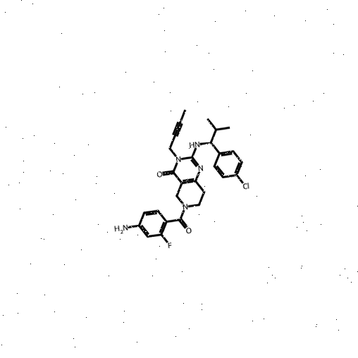 CC#CCn1c(N[C@H](c2ccc(Cl)cc2)C(C)C)nc2c(c1=O)CN(C(=O)c1ccc(N)cc1F)CC2